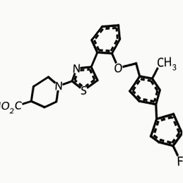 Cc1cc(-c2ccc(F)cc2)ccc1COc1ccccc1-c1csc(N2CCC(C(=O)O)CC2)n1